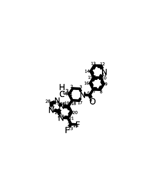 C[C@@H]1CCN(C(=O)c2ccc3ncccc3c2)CC1c1cc(C(F)F)nc2ncnn12